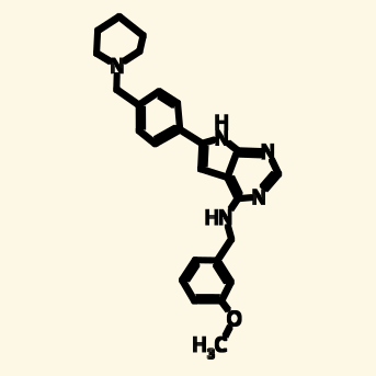 COc1cccc(CNc2ncnc3[nH]c(-c4ccc(CN5CCCCC5)cc4)cc23)c1